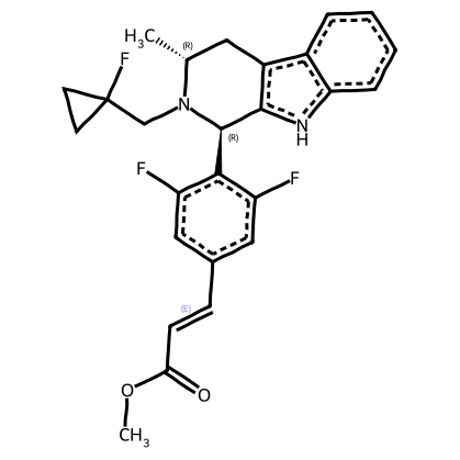 COC(=O)/C=C/c1cc(F)c([C@@H]2c3[nH]c4ccccc4c3C[C@@H](C)N2CC2(F)CC2)c(F)c1